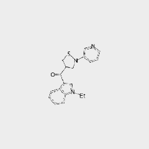 CCn1cc(C(=O)C2CSN(c3cccnc3)C2)c2ccccc21